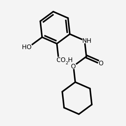 O=C(Nc1cccc(O)c1C(=O)O)OC1CCCCC1